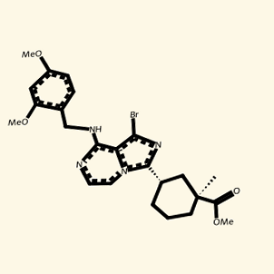 COC(=O)[C@@]1(C)CCC[C@H](c2nc(Br)c3c(NCc4ccc(OC)cc4OC)nccn23)C1